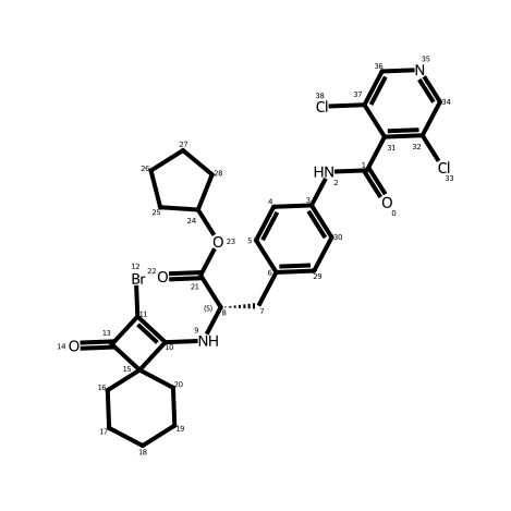 O=C(Nc1ccc(C[C@H](NC2=C(Br)C(=O)C23CCCCC3)C(=O)OC2CCCC2)cc1)c1c(Cl)cncc1Cl